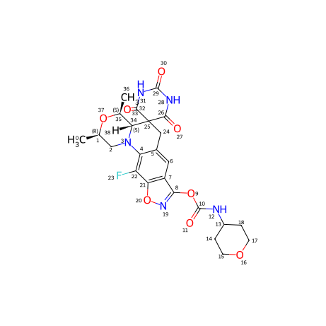 C[C@@H]1CN2c3c(cc4c(OC(=O)NC5CCOCC5)noc4c3F)CC3(C(=O)NC(=O)NC3=O)[C@H]2[C@H](C)O1